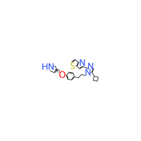 Cn1c(-c2ncc(C3CCC3)n2CCCc2ccc(OC[C@@H]3CCNC3)cc2)cc2sccc21